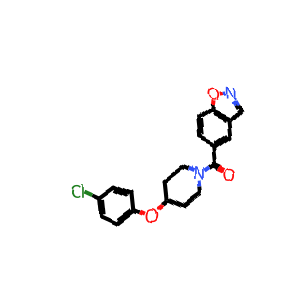 O=C(c1ccc2oncc2c1)N1CCC(Oc2ccc(Cl)cc2)CC1